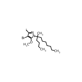 CCCCCCCC(C)(CCCC)n1nc(I)c(Br)c1OC